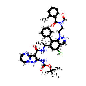 Cc1ccccc1C(=O)N(C=O)CCn1ncc2c(Cl)cc(C(C)NC(=O)c3c(NC(=O)OC(C)(C)C)nn4cccnc34)c(-c3ccccc3)c21